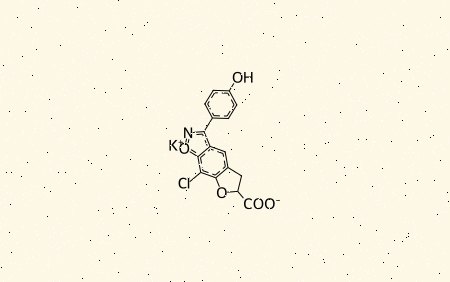 O=C([O-])C1Cc2cc3c(-c4ccc(O)cc4)noc3c(Cl)c2O1.[K+]